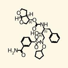 NC(=O)c1cccc(S(=O)(=O)N(C[C@@H](O)[C@H](Cc2ccccc2)NC(=O)O[C@H]2CO[C@H]3OCC[C@H]32)OC2CCCC2)c1